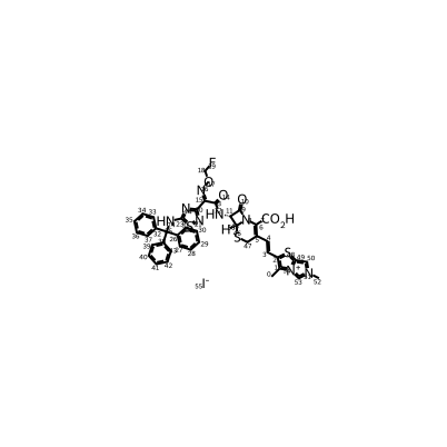 Cc1c(C=CC2=C(C(=O)O)N3C(=O)[C@@H](NC(=O)/C(=N\OCF)c4nsc(NC(c5ccccc5)(c5ccccc5)c5ccccc5)n4)[C@H]3SC2)sc2cn(C)c[n+]12.[I-]